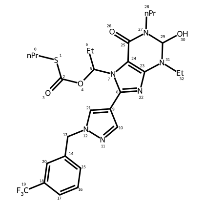 CCCSC(=O)OC(CC)n1c(-c2cnn(Cc3cccc(C(F)(F)F)c3)c2)nc2c1C(=O)N(CCC)C(O)N2CC